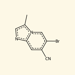 Cc1cnc2cc(C#N)c(Br)cn12